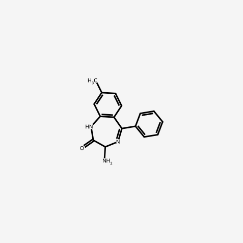 Cc1ccc2c(c1)NC(=O)C(N)N=C2c1ccccc1